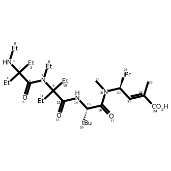 CCNC(CC)(CC)C(=O)N(CC)C(CC)(CC)C(=O)N[C@H](C(=O)N(C)[C@H](/C=C(\C)C(=O)O)C(C)C)C(C)(C)C